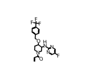 C=CC(=O)N1CCC(OCc2ccc(C(F)(F)F)cc2)C(Nc2ncc(F)cn2)C1